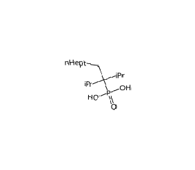 CCCCCCCCC(C(C)C)(C(C)C)P(=O)(O)O